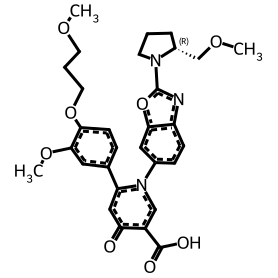 COCCCOc1ccc(-c2cc(=O)c(C(=O)O)cn2-c2ccc3nc(N4CCC[C@@H]4COC)oc3c2)cc1OC